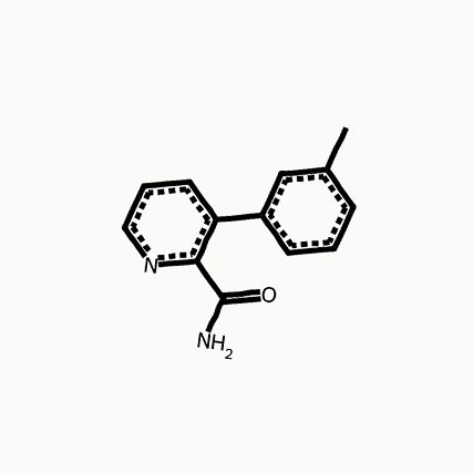 Cc1cccc(-c2cccnc2C(N)=O)c1